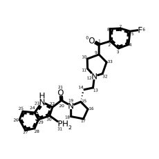 O=C(c1ccc(F)cc1)C1CCN(CC[C@@H]2CCCN2C(=O)c2[nH]c3ccccc3c2P)CC1